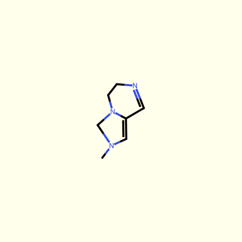 CN1C=C2C=NCCN2C1